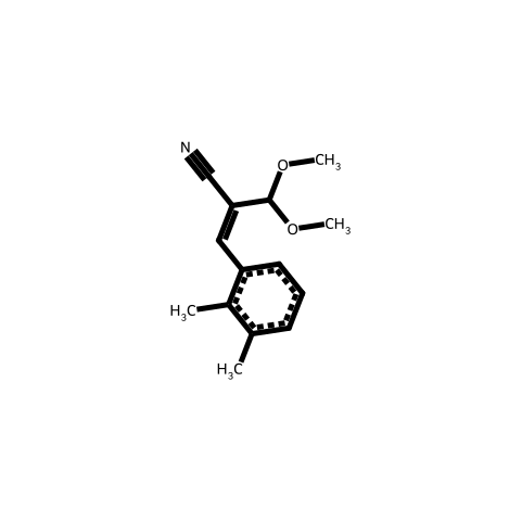 COC(OC)C(C#N)=Cc1cccc(C)c1C